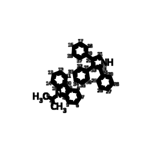 CC(C)n1c2ccccc2c2ccccc21.c1ccc(-c2c[nH]c(-c3ccccc3)c2-c2ccccc2)cc1